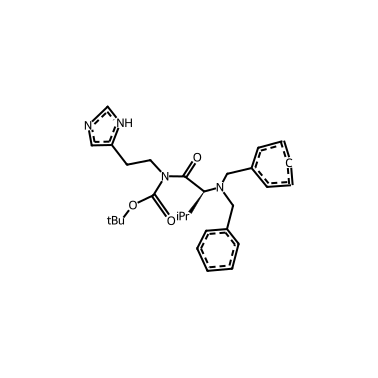 CC(C)[C@@H](C(=O)N(CCc1cnc[nH]1)C(=O)OC(C)(C)C)N(Cc1ccccc1)Cc1ccccc1